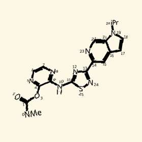 CNC(=O)Oc1nccnc1Nc1nc(-c2cc3ccn(C(C)C)c3cn2)ns1